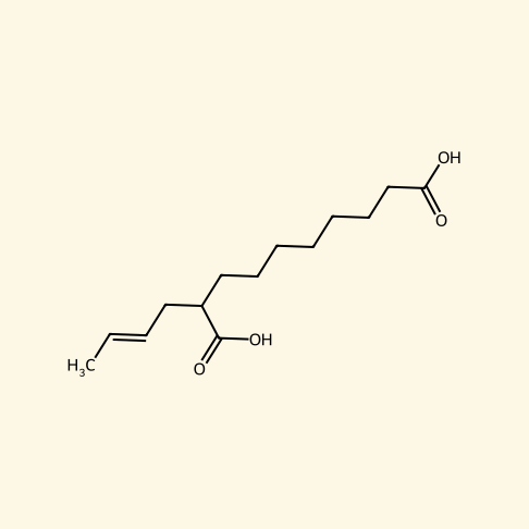 CC=CCC(CCCCCCCC(=O)O)C(=O)O